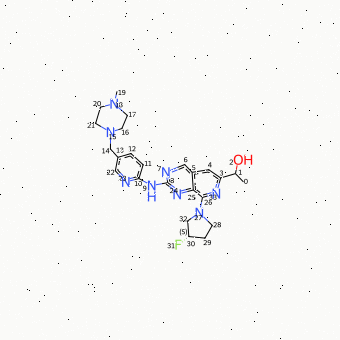 CC(O)c1cc2cnc(Nc3ccc(CN4CCN(C)CC4)cn3)nc2c(N2CC[C@H](F)C2)n1